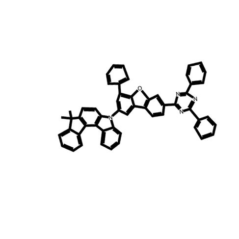 CC1(C)c2ccccc2-c2c1ccc1c2c2ccccc2n1-c1cc(-c2ccccc2)c2oc3cc(-c4nc(-c5ccccc5)nc(-c5ccccc5)n4)ccc3c2c1